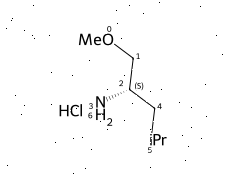 COC[C@@H](N)CC(C)C.Cl